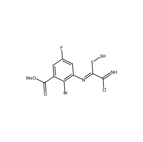 COC(=O)c1cc(F)cc(/N=C(\SS)C(=N)Cl)c1Br